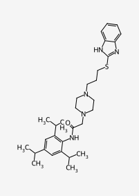 CC(C)c1cc(C(C)C)c(NC(=O)CN2CCN(CCCSc3nc4ccccc4[nH]3)CC2)c(C(C)C)c1